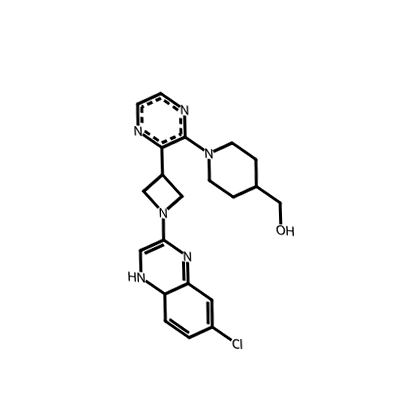 OCC1CCN(c2nccnc2C2CN(C3=CNC4C=CC(Cl)=CC4=N3)C2)CC1